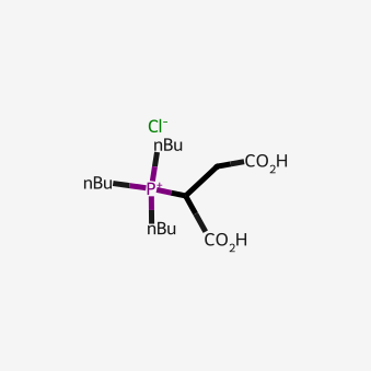 CCCC[P+](CCCC)(CCCC)C(CC(=O)O)C(=O)O.[Cl-]